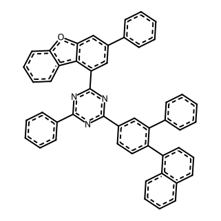 c1ccc(-c2cc(-c3nc(-c4ccccc4)nc(-c4ccc(-c5cccc6ccccc56)c(-c5ccccc5)c4)n3)c3c(c2)oc2ccccc23)cc1